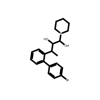 CC(c1ccccc1-c1ccc(Br)cc1)C(O)C(O)N1CCCCC1